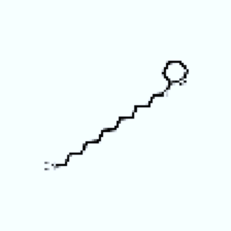 O=NCCCCCCCCCCCCOC1CCCCO1